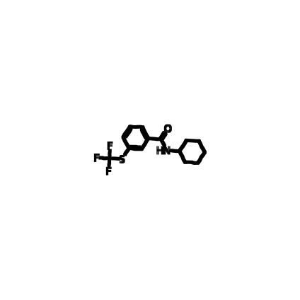 O=C(NC1CCCCC1)c1cccc(SC(F)(F)F)c1